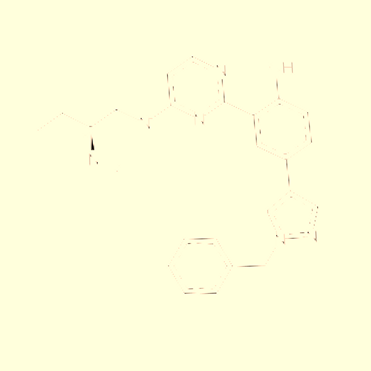 CC[C@H](N)CNc1ccnc(-c2cc(-c3cnn(Cc4ccccc4)c3)ccc2O)n1